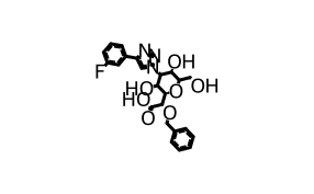 O=C(O)[C@@H](OCc1ccccc1)[C@@H]1OC(CO)[C@H](O)C(n2cc(-c3cccc(F)c3)nn2)C1O